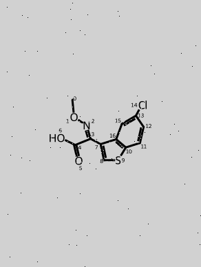 CON=C(C(=O)O)c1csc2ccc(Cl)cc12